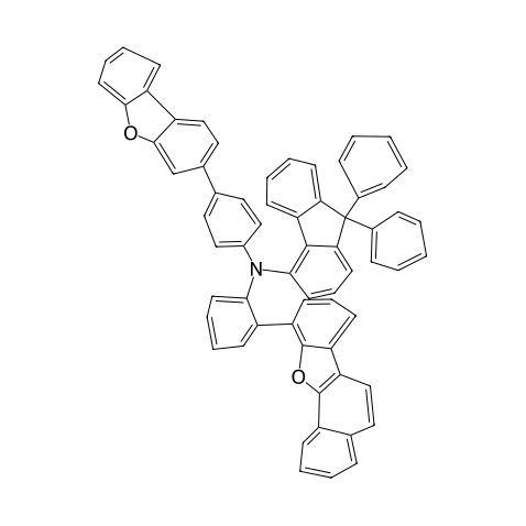 c1ccc(C2(c3ccccc3)c3ccccc3-c3c(N(c4ccc(-c5ccc6c(c5)oc5ccccc56)cc4)c4ccccc4-c4cccc5c4oc4c6ccccc6ccc54)cccc32)cc1